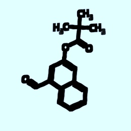 CC(C)(C)C(=O)Oc1cc(C=O)c2ccccc2c1